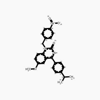 COc1ccc2c(c1)c(-c1ccc(C(C)C)cc1)nc(=O)n2Cc1ccc([N+](=O)[O-])cc1